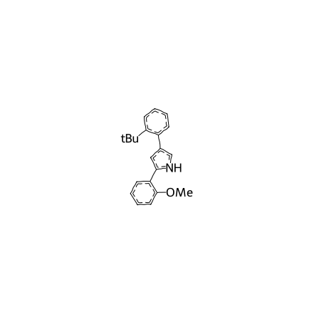 COc1ccccc1-c1cc(-c2ccccc2C(C)(C)C)c[nH]1